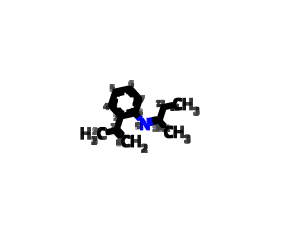 C=C(C)c1ccccc1/N=C(/C)CC